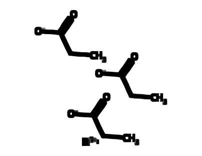 CCC(=O)[O-].CCC(=O)[O-].CCC(=O)[O-].[Bi+3]